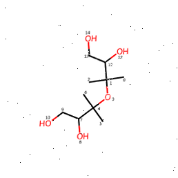 CC(C)(OC(C)(C)C(O)CO)C(O)CO